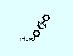 CCCCCCO[C@H]1CC[C@H](c2cnc(C3CCCCC3)nc2)CC1